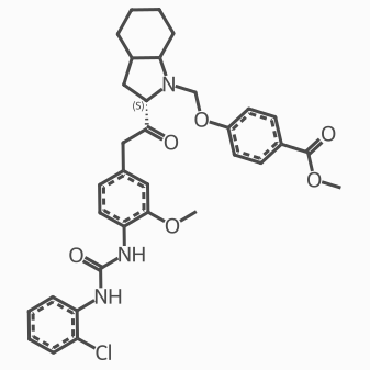 COC(=O)c1ccc(OCN2C3CCCCC3C[C@H]2C(=O)Cc2ccc(NC(=O)Nc3ccccc3Cl)c(OC)c2)cc1